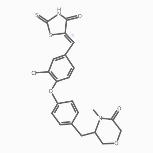 CN1C(=O)COCC1Cc1ccc(Oc2ccc(/C=C3\SC(=S)NC3=O)cc2Cl)cc1